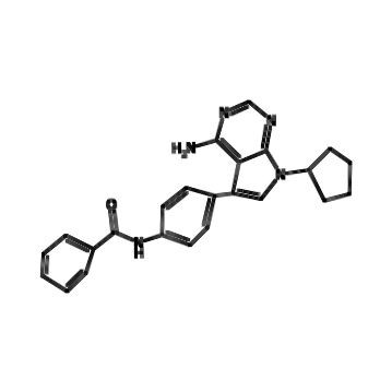 Nc1ncnc2c1c(-c1ccc(NC(=O)c3ccccc3)cc1)cn2C1CCCC1